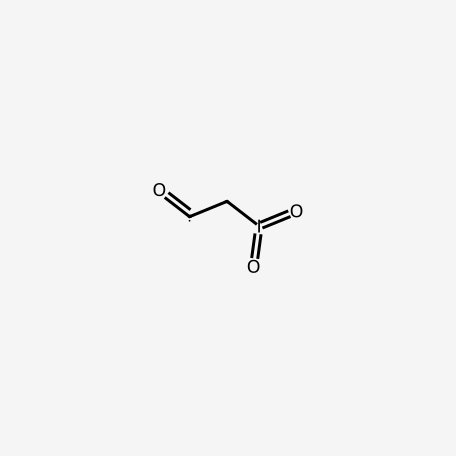 O=[C]CI(=O)=O